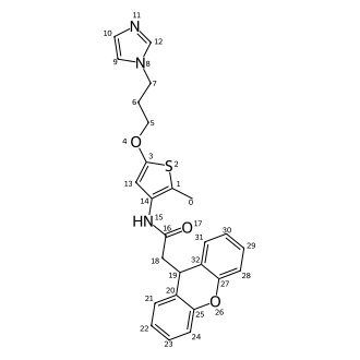 Cc1sc(OCCCn2ccnc2)cc1NC(=O)CC1c2ccccc2Oc2ccccc21